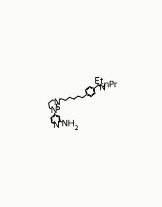 CCC/N=C(\CC)c1ccc(CCCCCCN2CCCN(c3ccnc(N)c3)S2)cc1